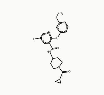 CSc1cccc(Oc2ncc(F)cc2C(=O)NC2CCN(C(=O)C3CC3)CC2)c1